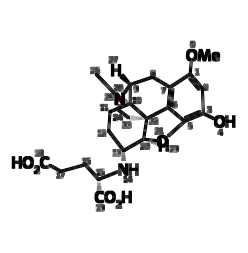 COc1cc(O)c2c3c1C[C@@H]1[C@@H]4CC[C@@H](N[C@@H](CCC(=O)O)C(=O)O)[C@H](O2)[C@]34CCN1C